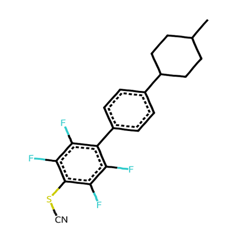 CC1CCC(c2ccc(-c3c(F)c(F)c(SC#N)c(F)c3F)cc2)CC1